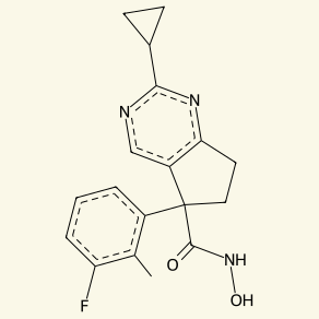 Cc1c(F)cccc1C1(C(=O)NO)CCc2nc(C3CC3)ncc21